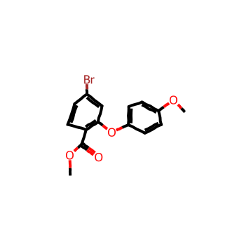 COC(=O)c1ccc(Br)cc1Oc1ccc(OC)cc1